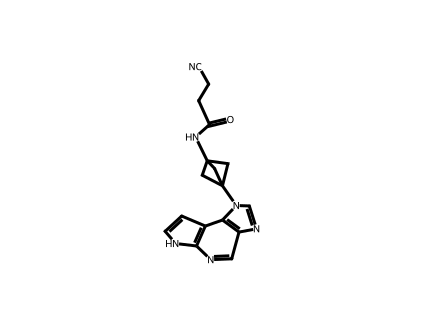 N#CCCC(=O)NC12CC(n3cnc4cnc5[nH]ccc5c43)(C1)C2